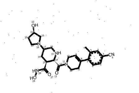 Cc1cc(C#N)ccc1C1=CCN(C(=O)[C@H]2NCC(N3CC[C@@H](O)C3)C[C@@H]2C(=O)NO)CC1